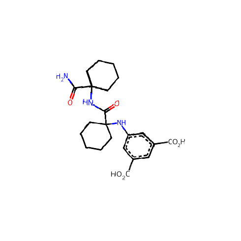 NC(=O)C1(NC(=O)C2(Nc3cc(C(=O)O)cc(C(=O)O)c3)CCCCC2)CCCCC1